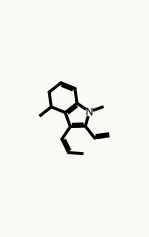 C=Cc1c(/C=C\C)c2c(n1C)C=CCC2C